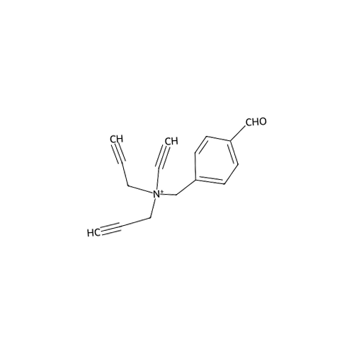 C#CC[N+](C#C)(CC#C)Cc1ccc(C=O)cc1